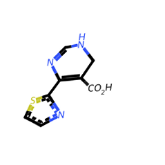 O=C(O)C1=C(c2nccs2)N=CNC1